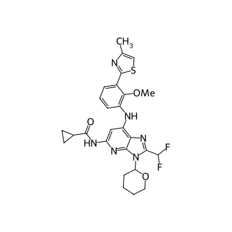 COc1c(Nc2cc(NC(=O)C3CC3)nc3c2nc(C(F)F)n3C2CCCCO2)cccc1-c1nc(C)cs1